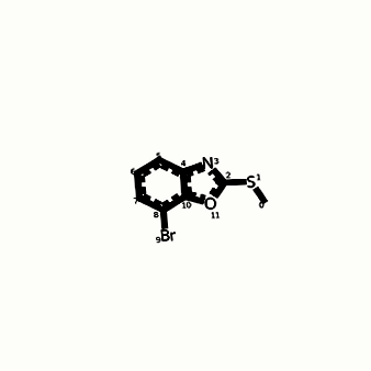 CSc1nc2cccc(Br)c2o1